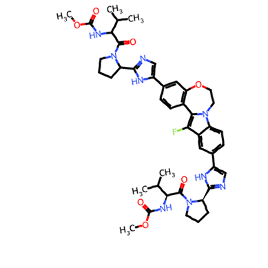 COC(=O)NC(C(=O)N1CCCC1c1ncc(-c2ccc3c(c2)OCCn2c-3c(F)c3cc(-c4cnc([C@H]5CCCN5C(=O)[C@@H](NC(=O)OC)C(C)C)[nH]4)ccc32)[nH]1)C(C)C